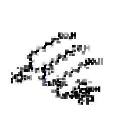 CCCCC/C=C\C/C=C\CCCCCCCC(=O)O.CCCCC/C=C\C/C=C\CCCCCCCC(=O)O.CCCCC/C=C\C/C=C\CCCCCCCC(=O)O.OCC(O)CO.OCC(O)CO.OCC(O)CO